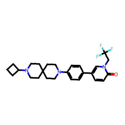 O=c1ccc(-c2ccc(N3CCC4(CC3)CCN(C3CCC3)CC4)cc2)cn1CC(F)(F)F